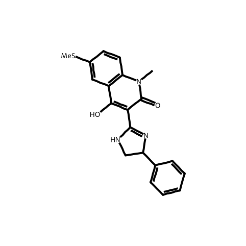 CSc1ccc2c(c1)c(O)c(C1=NC(c3ccccc3)CN1)c(=O)n2C